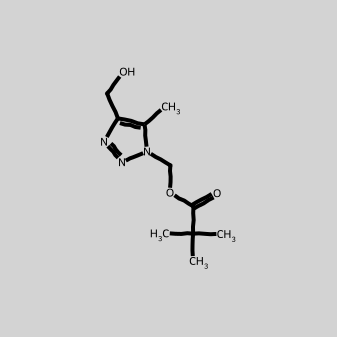 Cc1c(CO)nnn1COC(=O)C(C)(C)C